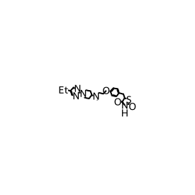 CCc1cnc(N2CCC(N(C)CCOc3ccc(CC4SC(=O)NC4=O)cc3)CC2)nc1